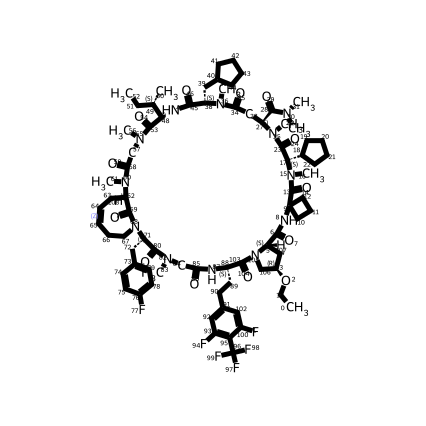 CCO[C@@H]1C[C@H]2C(=O)NC3(CCC3)C(=O)N(C)[C@@H](C3CCCC3)C(=O)N(C)[C@H](C(=O)N(C)C)CC(=O)N(C)[C@@H](CC3CCCC3)C(=O)N[C@@H]([C@@H](C)CC)C(=O)N(C)CC(=O)N(C)[C@H]3C/C=C\CCN(C3=O)[C@@H](Cc3ccc(F)cc3)C(=O)N(C)CC(=O)N[C@@H](CCc3cc(F)c(C(F)(F)F)c(F)c3)C(=O)N2C1